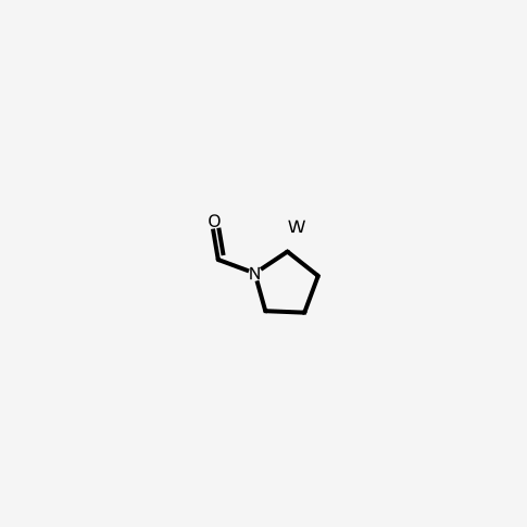 O=CN1CCCC1.[W]